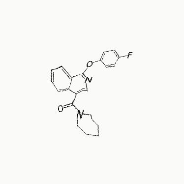 O=C(c1cnc(Oc2ccc(F)cc2)c2ccccc12)N1CCCCC1